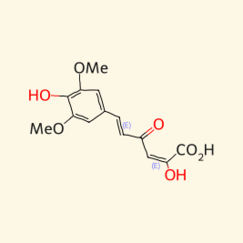 COc1cc(/C=C/C(=O)/C=C(/O)C(=O)O)cc(OC)c1O